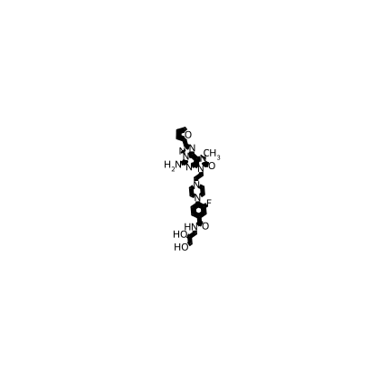 Cn1c(=O)n(CCN2CCN(c3ccc(C(=O)NCC(O)CO)cc3F)CC2)c2nc(N)n3nc(-c4ccco4)nc3c21